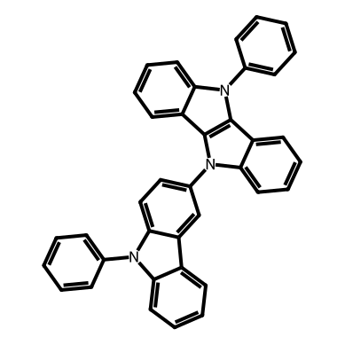 c1ccc(-n2c3ccccc3c3cc(-n4c5ccccc5c5c4c4ccccc4n5-c4ccccc4)ccc32)cc1